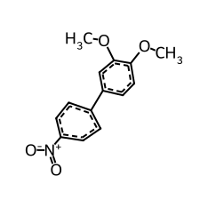 COc1ccc(-c2ccc([N+](=O)[O-])cc2)cc1OC